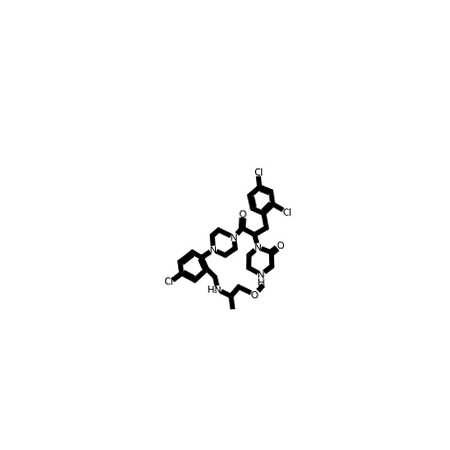 COCC(C)NCc1cc(Cl)ccc1N1CCN(C(=O)C(Cc2ccc(Cl)cc2Cl)N2CCNCC2=O)CC1